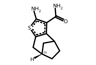 NC(=O)c1c(N)sc2c1C1CC[C@H](C2)C1